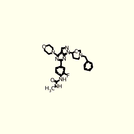 CNC(=O)Nc1ccc(-c2nc(N3CCOCC3)c3cnn(C4CCN(Cc5ccccc5)CC4)c3n2)cc1F